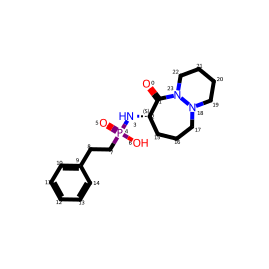 O=C1[C@@H](NP(=O)(O)CCc2ccccc2)CCCN2CCCCN12